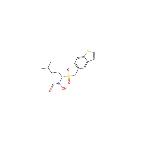 CC(C)CCC(N(O)C=O)S(=O)(=O)Cc1ccc2sccc2c1